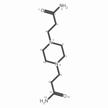 NC(=O)CCN1CCN(CCC(N)=O)CC1